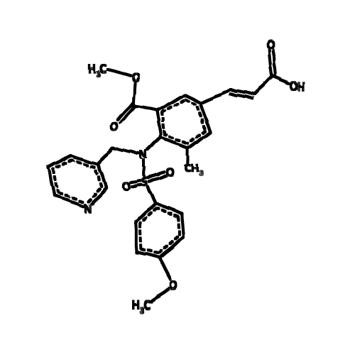 COC(=O)c1cc(/C=C/C(=O)O)cc(C)c1N(Cc1cccnc1)S(=O)(=O)c1ccc(OC)cc1